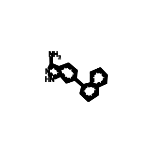 Nc1n[nH]c2cc(-c3cccc4ccccc34)ccc12